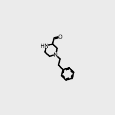 O=CC1CN(CCc2ccccc2)CCN1